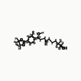 CON(CCNCCCC(C)(C)[Si](C)(C)O)c1ccc(B2OC(C)(C)C(C)(C)O2)cc1F